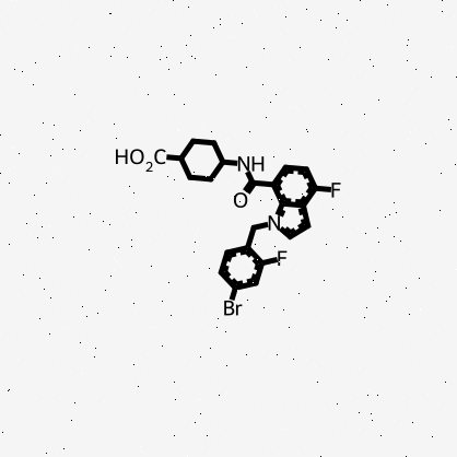 O=C(NC1CCC(C(=O)O)CC1)c1ccc(F)c2ccn(Cc3ccc(Br)cc3F)c12